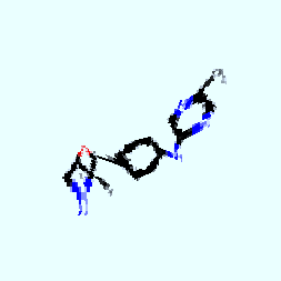 FC(F)(F)c1cnc(Nc2ccc([C@@H]3OC4CN[C@H]43)cc2)cn1